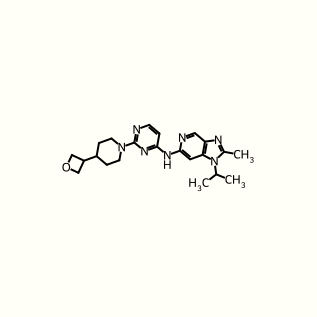 Cc1nc2cnc(Nc3ccnc(N4CCC(C5COC5)CC4)n3)cc2n1C(C)C